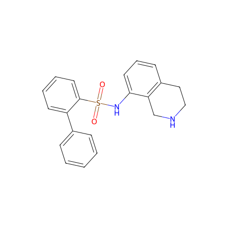 O=S(=O)(Nc1cccc2c1CNCC2)c1ccccc1-c1ccccc1